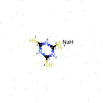 Sc1nc(S)nc(S)n1.[NaH]